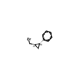 BrC[C@@H]1C[C@H]1c1ccccc1